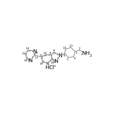 Cl.NCC1CCC(n2cc3cc(-c4ncccn4)ccc3n2)CC1